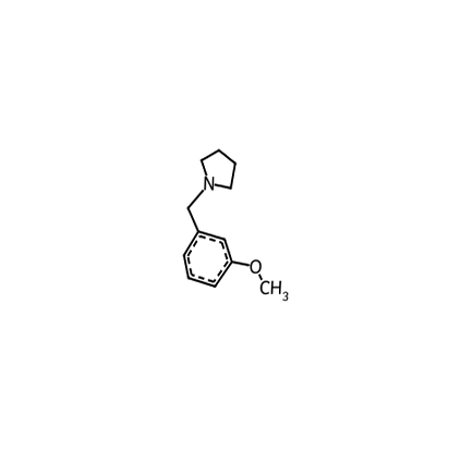 COc1cccc(CN2CCCC2)c1